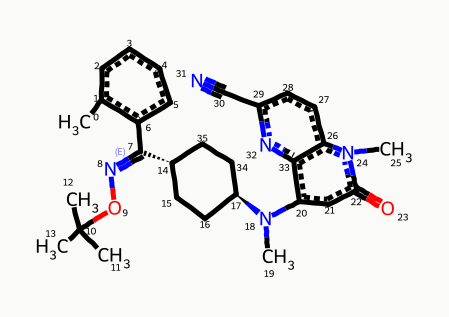 Cc1ccccc1/C(=N/OC(C)(C)C)[C@H]1CC[C@H](N(C)c2cc(=O)n(C)c3ccc(C#N)nc23)CC1